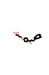 O=C(C=Cc1ccccc1)c1ccc(OCCC=CO)cc1